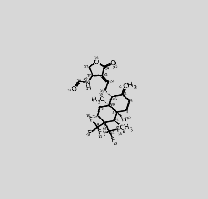 C=C1CC[C@@H]2[C@@H](C)C(C(F)(F)F)(C(F)(F)F)CC[C@@]2(C)[C@@H]1C/C=C1/C(=O)OCC1NC=O